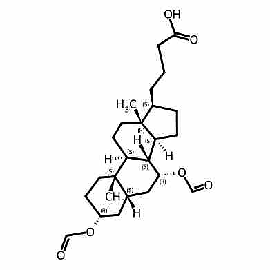 C[C@]12CC[C@@H](OC=O)C[C@H]1C[C@@H](OC=O)[C@@H]1[C@@H]2CC[C@]2(C)[C@@H](CCCC(=O)O)CC[C@@H]12